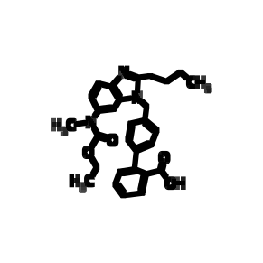 CCCCc1nc2ccc(N(C)C(=O)OCC)cc2n1Cc1ccc(-c2ccccc2C(=O)O)cc1